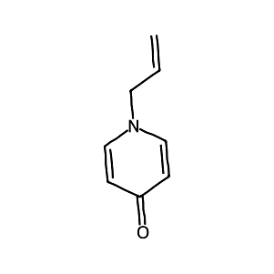 C=CCn1ccc(=O)cc1